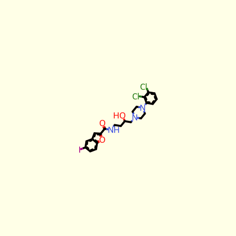 O=C(NCCC(O)CN1CCN(c2cccc(Cl)c2Cl)CC1)c1cc2cc(I)ccc2o1